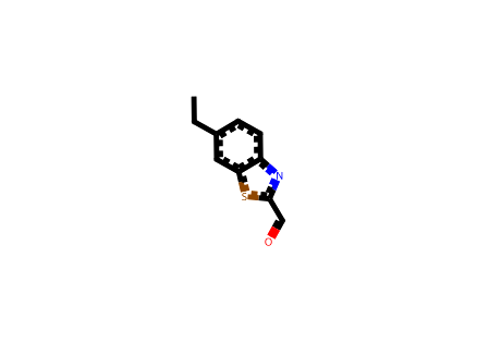 CCc1ccc2nc(C=O)sc2c1